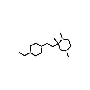 CCN1CCN(CCC2(C)CN(C)CCN2C)CC1